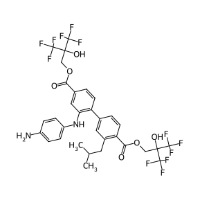 CC(C)Cc1cc(-c2ccc(C(=O)OCC(O)(C(F)(F)F)C(F)(F)F)cc2Nc2ccc(N)cc2)ccc1C(=O)OCC(O)(C(F)(F)F)C(F)(F)F